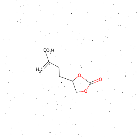 C=C(CCC1COC(=O)O1)C(=O)O